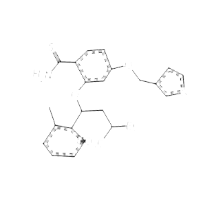 CCC(CC(Oc1cc(OCc2ccsc2)ccc1C(N)=S)c1ccccc1C)C(=O)O